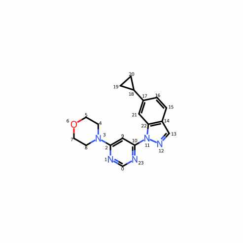 c1nc(N2CCOCC2)cc(-n2ncc3ccc(C4CC4)cc32)n1